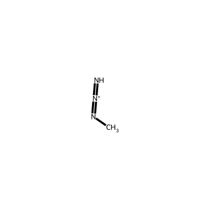 CN=[N+]=N